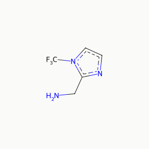 NCc1nccn1C(F)(F)F